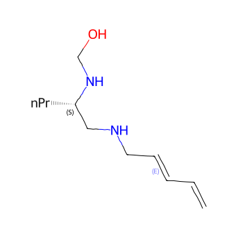 C=C/C=C/CNC[C@H](CCC)NCO